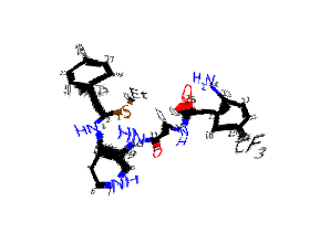 CCSC(NC1CCNCC1NC(=O)CNC(=O)c1cc(C(F)(F)F)ccc1N)c1ccccc1